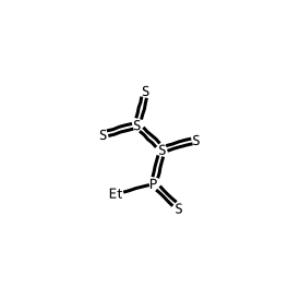 CCP(=S)=S(=S)=S(=S)=S